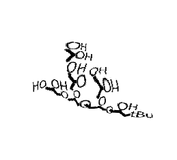 CC(C)(C)CC(O)COCC(COCC(COCC(O)CO)OCC(O)COCC(O)CO)OCC(O)CO